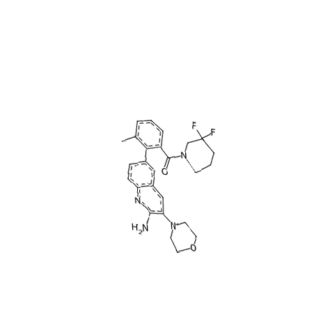 Cc1cccc(C(=O)N2CCCC(F)(F)C2)c1-c1ccc2nc(N)c(N3CCOCC3)cc2c1